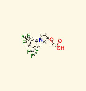 O=C(O)CO[C@@H]1CCN(c2cc(C(F)(F)F)cc(C(F)(F)F)c2)C1